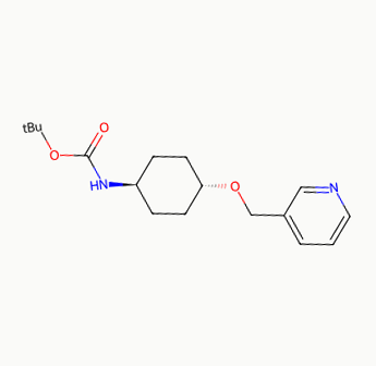 CC(C)(C)OC(=O)N[C@H]1CC[C@H](OCc2cccnc2)CC1